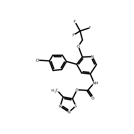 Cc1nnsc1OC(=O)Nc1cnc(OCC(F)(F)F)c(-c2ccc(Cl)cc2)c1